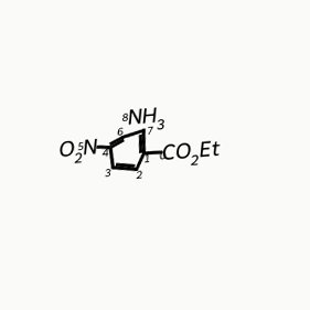 CCOC(=O)c1ccc([N+](=O)[O-])cc1.N